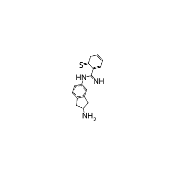 N=C(Nc1ccc2c(c1)CC(N)C2)C1=CC=CCC1=S